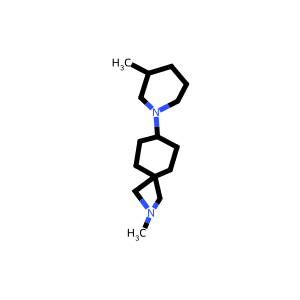 CC1CCCN(C2CCC3(CC2)CN(C)C3)C1